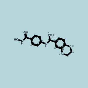 N=C(NO)c1ccc(NC(C(=O)O)c2ccc3c(c2)OCCO3)cc1